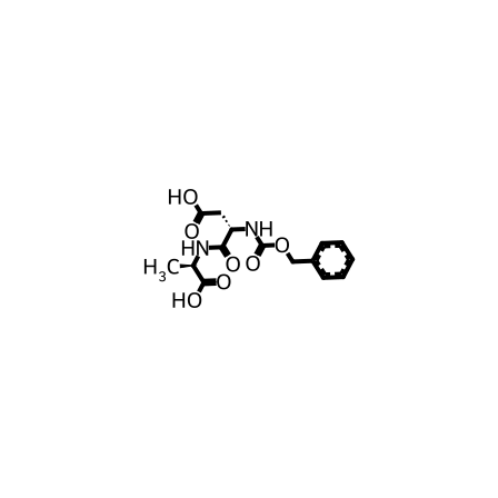 C[C@@H](NC(=O)[C@H](CC(=O)O)NC(=O)OCc1ccccc1)C(=O)O